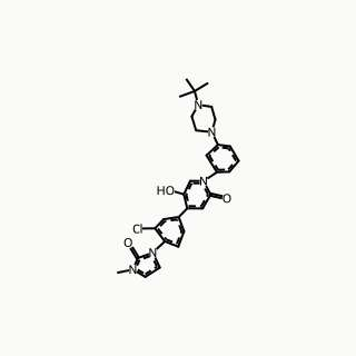 Cn1ccn(-c2ccc(-c3cc(=O)n(-c4cccc(N5CCN(C(C)(C)C)CC5)c4)cc3O)cc2Cl)c1=O